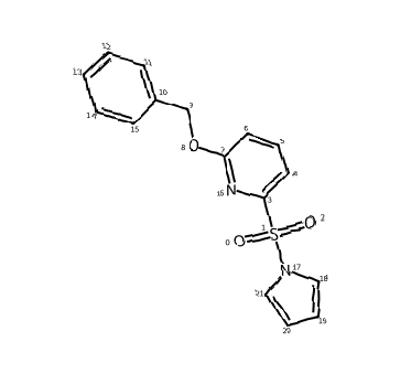 O=S(=O)(c1cccc(OCc2ccccc2)n1)n1cccc1